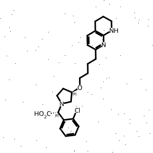 O=C(O)[C@@H](c1ccccc1Cl)N1CC[C@@H](OCCCCc2ccc3c(n2)NCCC3)C1